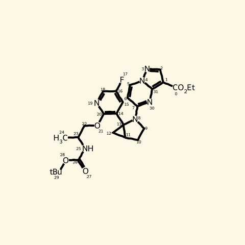 CCOC(=O)c1cnn2ccc(N3CCC4CC43c3cc(F)cnc3OCC(C)NC(=O)OC(C)(C)C)nc12